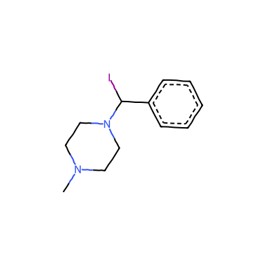 CN1CCN(C(I)c2ccccc2)CC1